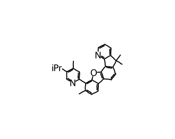 Cc1cc(-c2c(C)ccc3c2oc2c4c(ccc23)C(C)(C)c2cccnc2-4)ncc1C(C)C